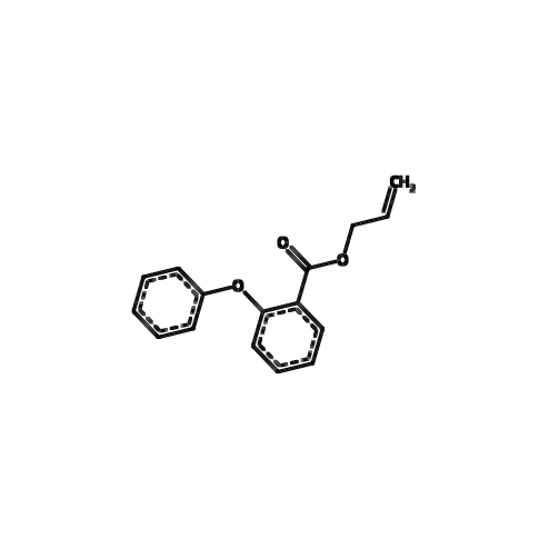 C=CCOC(=O)c1ccccc1Oc1ccccc1